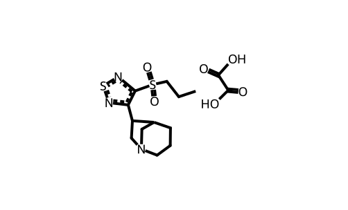 CCCS(=O)(=O)c1nsnc1C1CN2CCCC1C2.O=C(O)C(=O)O